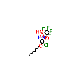 CCCCCCCCOc1ccc(NC(=O)c2c(F)c(F)c(F)c(F)c2C(=O)O)cc1Cl